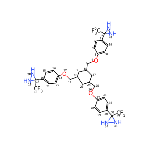 FC(F)(F)C1(c2ccc(OCC3CC(COc4ccc(C5(C(F)(F)F)NN5)cc4)CC(COc4ccc(C5(C(F)(F)F)NN5)cc4)C3)cc2)NN1